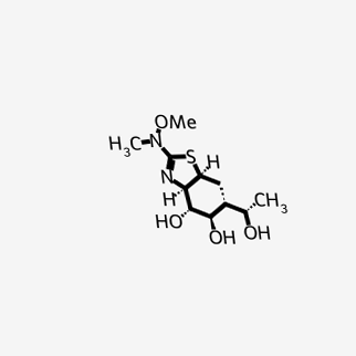 CON(C)C1=N[C@@H]2[C@@H](O)[C@H](O)[C@@H]([C@H](C)O)C[C@@H]2S1